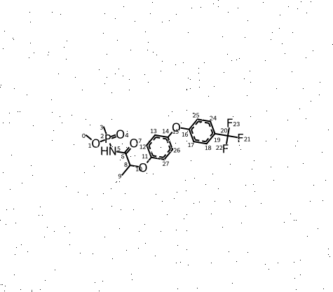 COP(C)(=O)NC(=O)C(C)Oc1ccc(Oc2ccc(C(F)(F)F)cc2)cc1